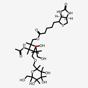 CC(=O)NC(C)(C(C)(CO)COCC1(C)OC(C)(CO)C(C)(O)C(C)(O)C1(C)O)C(C)(COC(=O)CCCCC1SC[C@@H]2NC(=O)N[C@H]12)CC(C)(C)CO